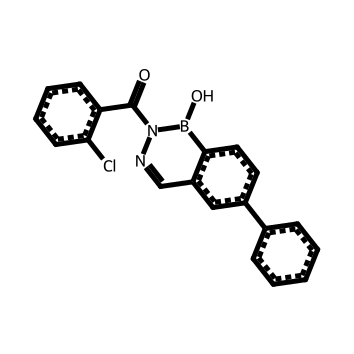 O=C(c1ccccc1Cl)N1N=Cc2cc(-c3ccccc3)ccc2B1O